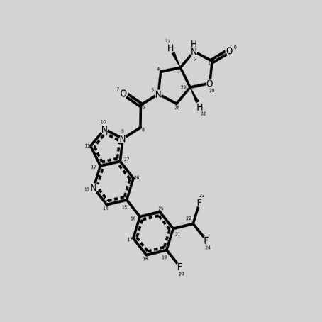 O=C1N[C@H]2CN(C(=O)Cn3ncc4ncc(-c5ccc(F)c(C(F)F)c5)cc43)C[C@H]2O1